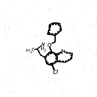 CC(N)Cc1cc(Cl)c2cccnc2c1OCc1ccccc1